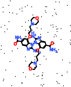 NC(=O)c1cc(OCCCN2CCOCC2)c2c(c1)nc(N)n2-n1c(N)nc2cc(C(N)=O)cc(OCCCN3CCOCC3)c21